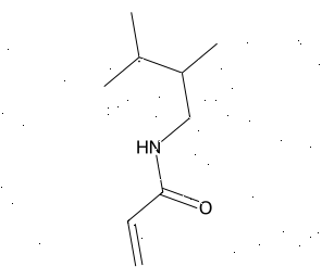 C=CC(=O)NCC(C)[C](C)C